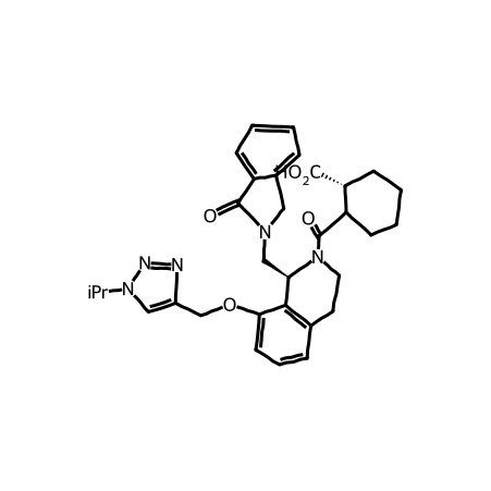 CC(C)n1cc(COc2cccc3c2[C@@H](CN2Cc4ccccc4C2=O)N(C(=O)C2CCCC[C@H]2C(=O)O)CC3)nn1